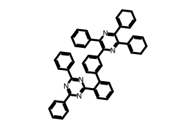 C1=CC(c2nc(-c3ccccc3)c(-c3cccc(-c4ccccc4-c4nc(-c5ccccc5)nc(-c5ccccc5)n4)c3)nc2C2=CCCC=C2)=CCC1